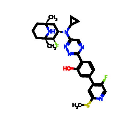 CSc1cc(-c2ccc(-c3ncc(N(C4CC4)[C@H]4C[C@]5(C)CCC[C@@](C)(N5)[C@H]4F)nn3)c(O)c2)c(F)cn1